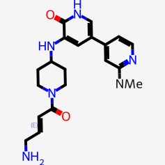 CNc1cc(-c2c[nH]c(=O)c(NC3CCN(C(=O)/C=C/CN)CC3)c2)ccn1